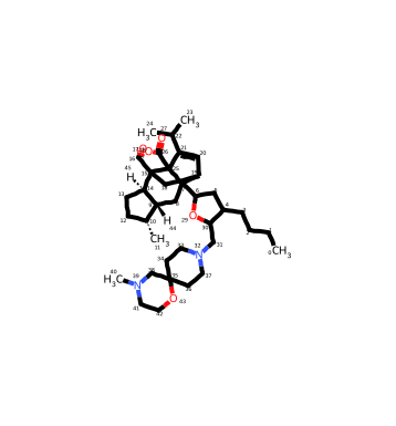 CCCCC1CC(C23C[C@@H]4[C@H](C)CC[C@H]4C4(C=O)CC2C=C(C(C)C)C34C(=O)O)OC1CN1CCC2(CC1)CN(C)CCO2